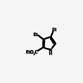 CCOC(=O)c1[nH]cc(CC)c1CC